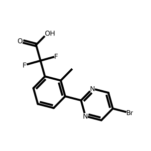 Cc1c(-c2ncc(Br)cn2)cccc1C(F)(F)C(=O)O